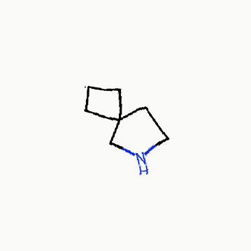 [CH]1CC2(C1)CCNC2